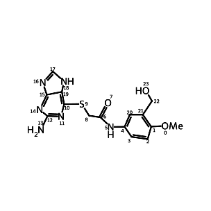 COc1ccc(NC(=O)CSc2nc(N)nc3nc[nH]c23)cc1CO